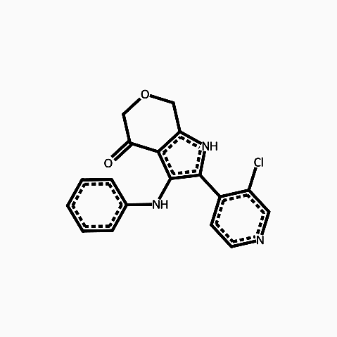 O=C1COCc2[nH]c(-c3ccncc3Cl)c(Nc3ccccc3)c21